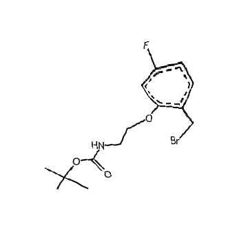 CC(C)(C)OC(=O)NCCOc1cc(F)ccc1CBr